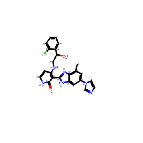 Cc1cc(-n2ccnc2)cc2[nH]c(-c3c(NCC(O)c4ccccc4Cl)cc[nH]c3=O)nc12